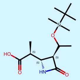 CC(O[Si](C)(C)C(C)(C)C)[C@H]1C(=O)N[C@@H]1[C@H](C)C(=O)O